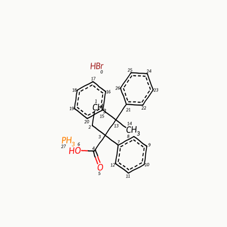 Br.CCC(C(=O)O)(c1ccccc1)C(C)(c1ccccc1)c1ccccc1.P